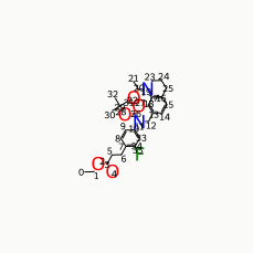 CCOC(=O)CCc1ccc(N(Cc2ccc3c(c2)N(C(C)=O)CCC3)C(=O)OC(C)(C)C)cc1F